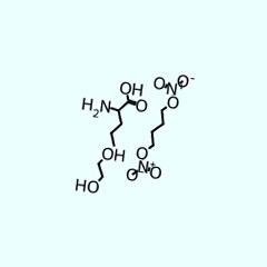 CCCC(N)C(=O)O.O=[N+]([O-])OCCCCO[N+](=O)[O-].OCCO